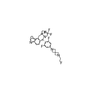 C[C@@H]1Cc2c(ccc3ncoc23)[C@@H](c2c(F)cc(N3CC4(CN(CCF)C4)C3)cc2F)N1CC(F)(F)F